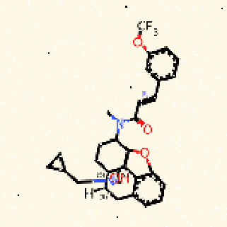 CN(C(=O)/C=C/c1cccc(OC(F)(F)F)c1)C1CC[C@@]2(O)[C@H]3Cc4cccc5c4[C@@]2(CCN3CC2CC2)C1O5